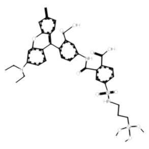 C=c1ccc2c(c1)Oc1cc(N(CC)CC)ccc1C=2c1ccc(NC(=O)c2cc(S(=O)(=O)NCCC[Si](OC)(OC)OC)ccc2C(=O)O)cc1C(=O)O